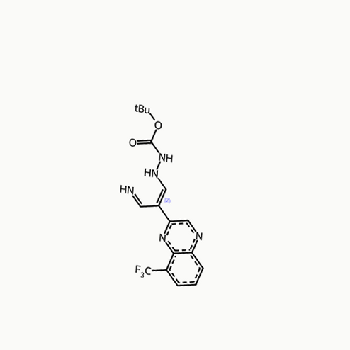 CC(C)(C)OC(=O)NN/C=C(\C=N)c1cnc2cccc(C(F)(F)F)c2n1